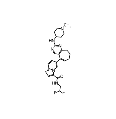 CN1CCC(Nc2ncc3c(n2)CCCC=C3c2ccc3ncc(C(=O)NCC(F)F)n3c2)CC1